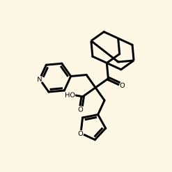 O=C(O)C(Cc1ccncc1)(Cc1ccoc1)C(=O)C12CC3CC(CC(C3)C1)C2